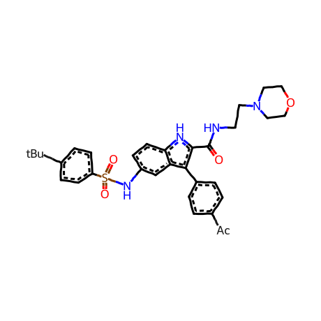 CC(=O)c1ccc(-c2c(C(=O)NCCN3CCOCC3)[nH]c3ccc(NS(=O)(=O)c4ccc(C(C)(C)C)cc4)cc23)cc1